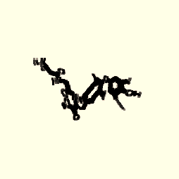 COC(=O)[C@H](Cc1cc(I)c(Oc2cc(I)c(O)c(I)c2)c(I)c1)NC(=O)CNC(=O)CN